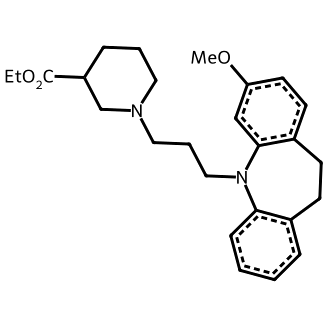 CCOC(=O)C1CCCN(CCCN2c3ccccc3CCc3ccc(OC)cc32)C1